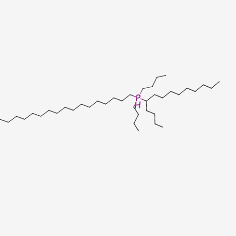 CCCCCCCCCCCCCCCCCC[PH](CCCC)(CCCC)C(CCCC)CCCCCCCCC